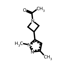 CC(=O)N1CC(c2cc(C)nn2C)C1